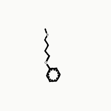 C[N]CCCCOc1ccccc1